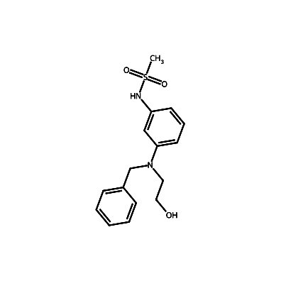 CS(=O)(=O)Nc1cccc(N(CCO)Cc2ccccc2)c1